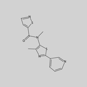 Cc1nc(-c2cccnc2)sc1N(C)C(=O)c1ccns1